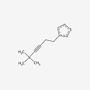 C[Si](C)(C)C#CCCc1[c]scc1